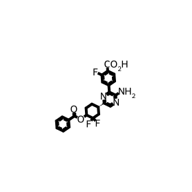 Nc1ncc([C@H]2CCC(OC(=O)c3ccccc3)C(F)(F)C2)nc1-c1ccc(C(=O)O)c(F)c1